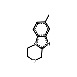 Cc1ccc2c(c1)nc1n2CCOC1